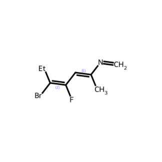 C=N/C(C)=C/C(F)=C(/Br)CC